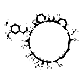 CO[C@H]1C[C@@H]2CC[C@@H](C)[C@@](O)(O2)C(=O)C(=O)N2CCCC[C@H]2C(=O)O[C@H](C(C)C[C@@H]2CC[C@@H](OI)[C@H](OC)C2)CC(=O)[C@H](C)CC(C)[C@@H](O)[C@@H](OC)C(=O)[C@H](C)C[C@H](C)/C=C/C=C/C=C/1C